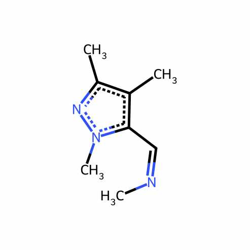 C/N=C\c1c(C)c(C)nn1C